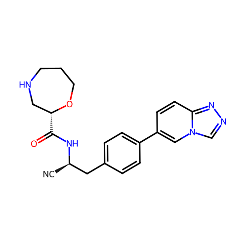 N#C[C@H](Cc1ccc(-c2ccc3nncn3c2)cc1)NC(=O)[C@@H]1CNCCCO1